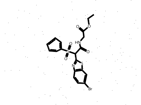 CCOC(=O)CNC(=O)C(c1nc2ccc(Br)cc2s1)S(=O)(=O)c1ccccc1